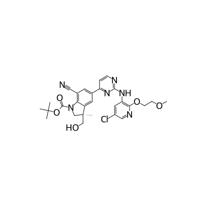 COCCOc1ncc(Cl)cc1Nc1nccc(-c2cc(C#N)c3c(c2)[C@@](C)(CO)CN3C(=O)OC(C)(C)C)n1